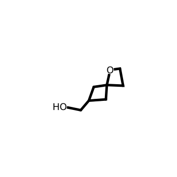 OCC1CC2(CCO2)C1